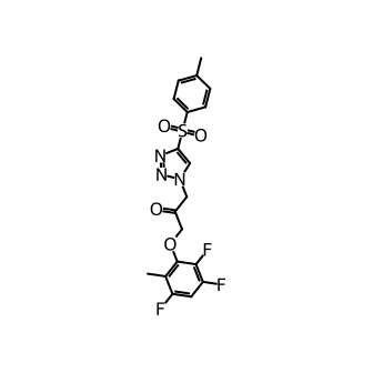 Cc1ccc(S(=O)(=O)c2cn(CC(=O)COc3c(C)c(F)cc(F)c3F)nn2)cc1